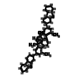 Cc1cc(-c2ccc3c(c2)sc2ccccc23)cc2c1-c1ccc3c(c1C2(C)C)C(C)(C)c1cc(-c2ccc4c(c2)sc2ccccc24)cc(C)c1-3